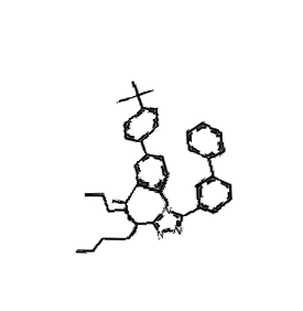 CCCCC(CCCC)c1nnc(-c2cccc(-c3ccccc3)c2)n1-c1ccc(-c2ccc(C(C)(C)C)cc2)cc1C(C)C